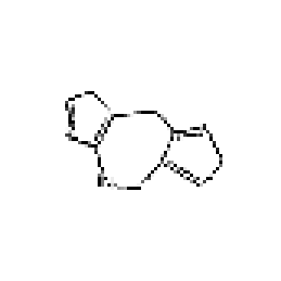 C1=CC2=C(C1)CC1=CCC=C1CN2